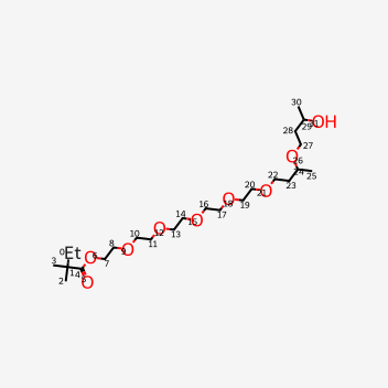 CCC(C)(C)C(=O)OCCOCCOCCOCCOCCOCCC(C)OCCC(C)O